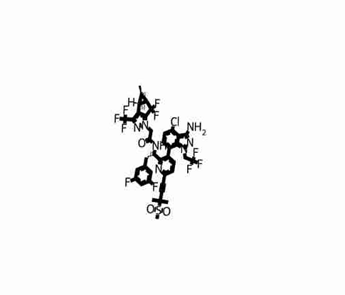 C[C@H]1C2[C@H]1c1c(C(F)(F)F)nn(CC(=O)N[C@@H](Cc3cc(F)cc(F)c3)c3nc(C#CC(C)(C)S(C)(=O)=O)ccc3-c3ccc(Cl)c4c(N)nn(CC(F)(F)F)c34)c1C2(F)F